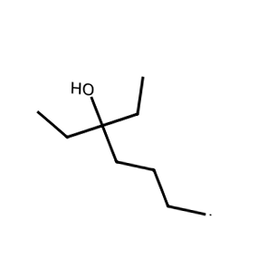 [CH2]CCCC(O)(CC)CC